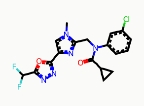 Cn1cc(-c2nnc(C(F)F)o2)nc1CN(C(=O)C1CC1)c1cccc(Cl)c1